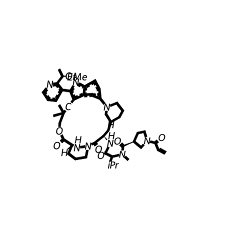 C=CC(=O)N1CC[C@H](C(=O)N(C)C(C(=O)N[C@H]2C[C@@H]3CCCN(C3)c3ccc4c(c3)c(c(-c3cccnc3[C@H](C)OC)n4CC)CC(C)(C)COC(=O)[C@@H]3CCCN(N3)C2=O)C(C)C)C1